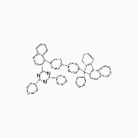 C1=CC2=C(CC1)C(c1ccccc1)(c1ccc(-c3ccc(-c4c(-c5nc(-c6ccccc6)nc(-c6ccccc6)n5)ccc5ccccc45)cc3)cc1)c1ccc3ccccc3c12